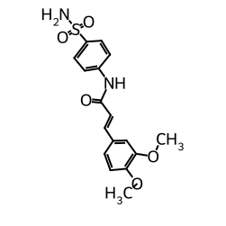 COc1ccc(/C=C/C(=O)Nc2ccc(S(N)(=O)=O)cc2)cc1OC